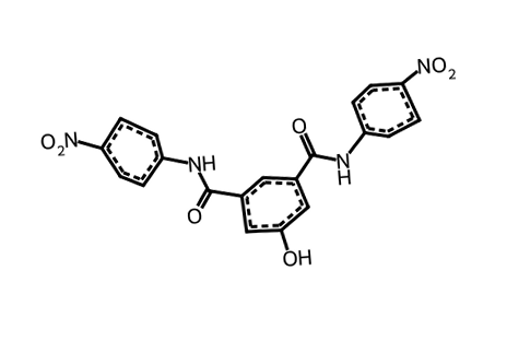 O=C(Nc1ccc([N+](=O)[O-])cc1)c1cc(O)cc(C(=O)Nc2ccc([N+](=O)[O-])cc2)c1